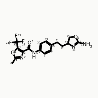 Cc1nc(C(=O)Nc2ccc(CCC3COC(N)=N3)cc2)c(C(F)(F)F)o1